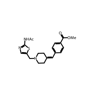 COC(=O)c1ccc(C=C2CCN(Cc3cnc(NC(C)=O)s3)CC2)cc1